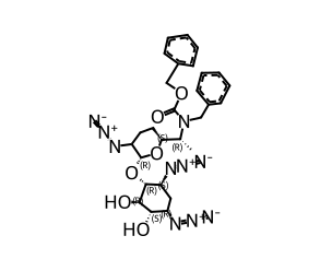 C[C@H]([C@@H]1CCC(N=[N+]=[N-])[C@@H](O[C@H]2[C@H](O)[C@@H](O)[C@H](N=[N+]=[N-])C[C@@H]2N=[N+]=[N-])O1)N(Cc1ccccc1)C(=O)OCc1ccccc1